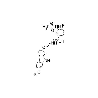 CC(C)Oc1ccc2c(c1)[nH]c1cc(OCCNC[C@H](O)c3ccc(F)c(NS(C)(=O)=O)c3)ccc12